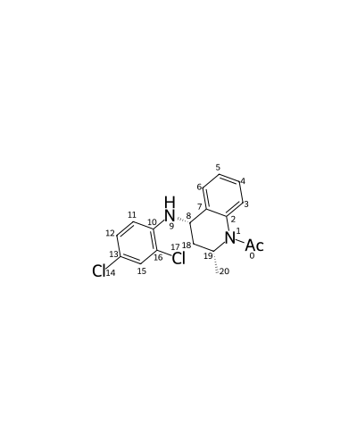 CC(=O)N1c2ccccc2[C@@H](Nc2ccc(Cl)cc2Cl)C[C@H]1C